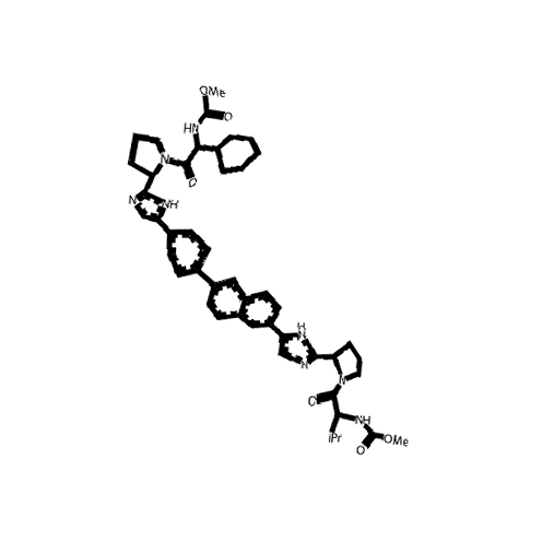 COC(=O)NC(C(=O)N1CCCC1c1ncc(-c2ccc3cc(-c4ccc(-c5cnc(C6CCCN6C(=O)C(NC(=O)OC)C6CCCCC6)[nH]5)cc4)ccc3c2)[nH]1)C(C)C